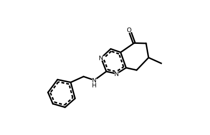 CC1CC(=O)c2cnc(NCc3ccccc3)nc2C1